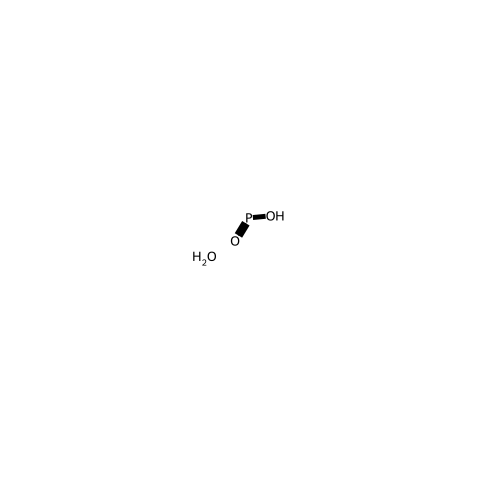 O.O=PO